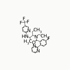 CCC(C(C)Nc1ccc(C(F)(F)F)cn1)N(CC)C(=O)c1cc(F)ccc1-c1ncccn1